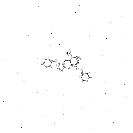 CC(C)N1Cc2c(ncn2Cc2ccccc2)CC1C(=O)OCc1ccccc1